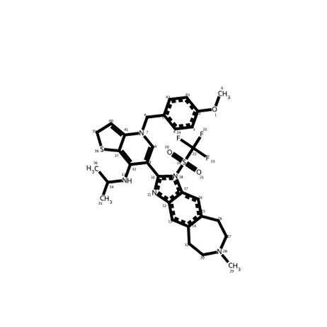 COc1ccc(CN2C=C(c3nc4cc5c(cc4n3S(=O)(=O)C(F)(F)F)CCN(C)CC5)C(NC(C)C)=C3SCC=C32)cc1